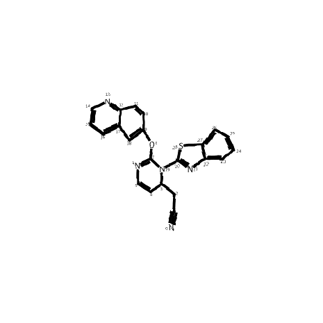 N#CCC1C=CN=C(Oc2ccc3ncccc3c2)N1c1nc2ccccc2s1